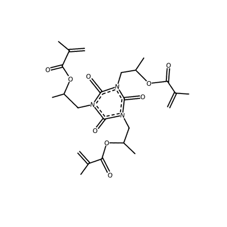 C=C(C)C(=O)OC(C)Cn1c(=O)n(CC(C)OC(=O)C(=C)C)c(=O)n(CC(C)OC(=O)C(=C)C)c1=O